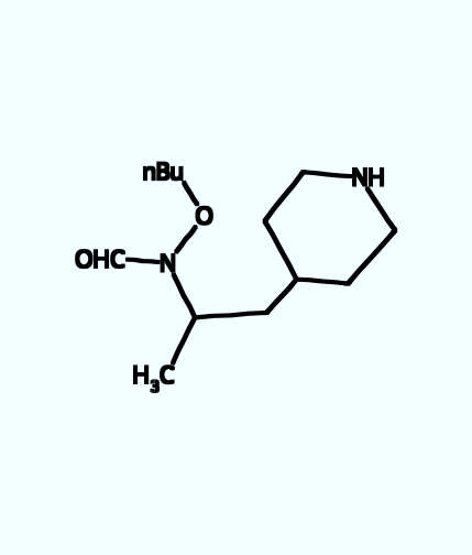 CCCCON(C=O)C(C)CC1CCNCC1